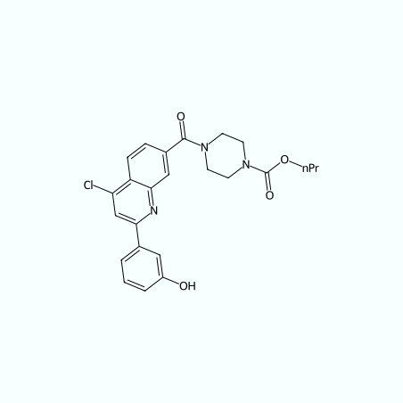 CCCOC(=O)N1CCN(C(=O)c2ccc3c(Cl)cc(-c4cccc(O)c4)nc3c2)CC1